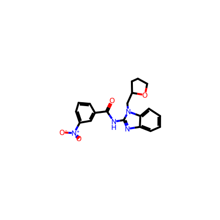 O=C(Nc1nc2ccccc2n1CC1CCCO1)c1cccc([N+](=O)[O-])c1